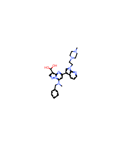 CN1CCN(CCn2cc(-c3cc(N(C)Cc4ccccc4)n4ncc(C(O)O)c4n3)c3cccnc32)CC1